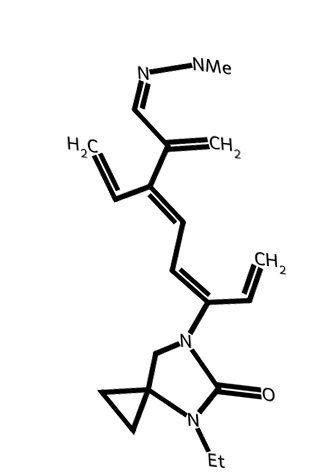 C=C/C(=C\C=C(/C=C)N1CC2(CC2)N(CC)C1=O)C(=C)/C=N\NC